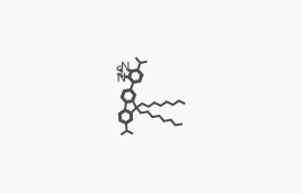 CCCCCCCCC1(CCCCCCCC)c2cc(-c3ccc(C(C)C)c4nsnc34)ccc2-c2ccc(C(C)C)cc21